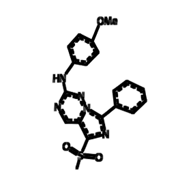 COc1ccc(Nc2ncc3c(S(C)(=O)=O)nc(-c4ccccc4)n3n2)cc1